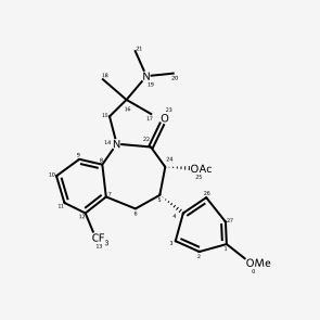 COc1ccc([C@@H]2Cc3c(cccc3C(F)(F)F)N(CC(C)(C)N(C)C)C(=O)[C@@H]2OC(C)=O)cc1